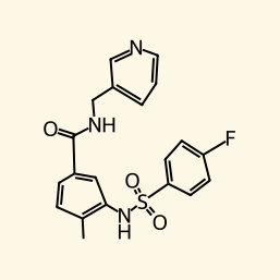 Cc1ccc(C(=O)NCc2cccnc2)cc1NS(=O)(=O)c1ccc(F)cc1